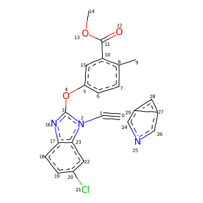 C#Cn1c(Oc2ccc(C)c(C(=O)OC)c2)nc2ccc(Cl)cc21.c1ncc2cc1-2